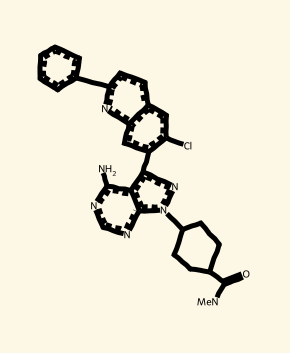 CNC(=O)C1CCC(n2nc(-c3cc4nc(-c5ccccc5)ccc4cc3Cl)c3c(N)ncnc32)CC1